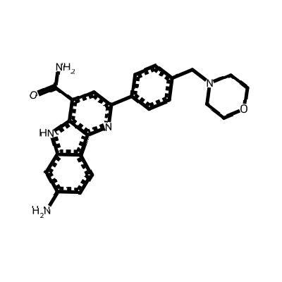 NC(=O)c1cc(-c2ccc(CN3CCOCC3)cc2)nc2c1[nH]c1cc(N)ccc12